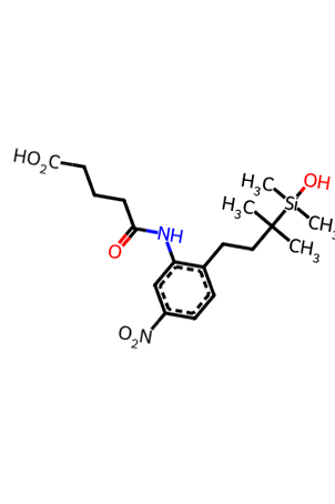 CC(C)(CCc1ccc([N+](=O)[O-])cc1NC(=O)CCCC(=O)O)[Si](C)(C)O